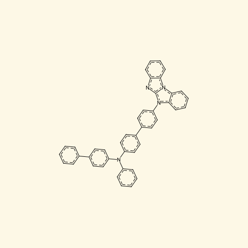 c1ccc(-c2ccc(N(c3ccccc3)c3ccc(-c4ccc(-n5c6ccccc6n6c7ccccc7nc56)cc4)cc3)cc2)cc1